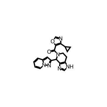 O=C(c1ocnc1C1CC1)N1CCc2[nH]cnc2C1c1cc2ccccn2n1